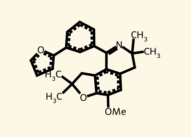 COc1cc2c(c3c1OC(C)(C)C3)C(c1cccc(-c3ccco3)c1)=NC(C)(C)C2